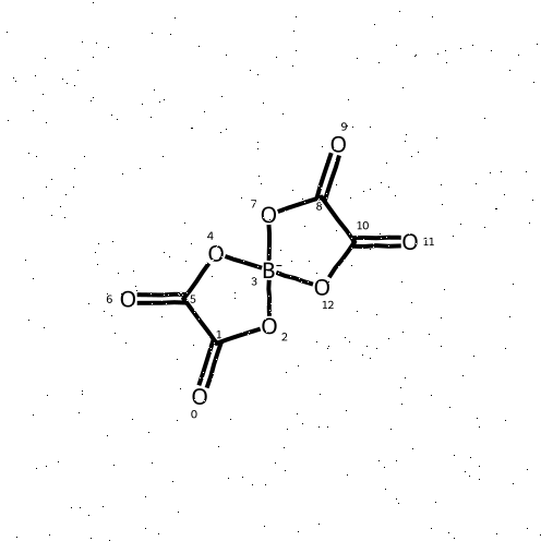 O=C1O[B-]2(OC1=O)OC(=O)C(=O)O2